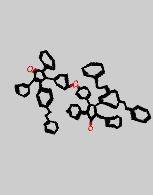 O=C1C(c2ccccc2)=C(c2ccc(CCc3ccccc3)cc2)C(c2ccc(Oc3ccc(C4=C(c5ccccc5)C(=O)C(c5ccccc5)=C4c4cc(CCc5ccccc5)cc(CCc5ccccc5)c4)cc3)cc2)=C1c1ccccc1